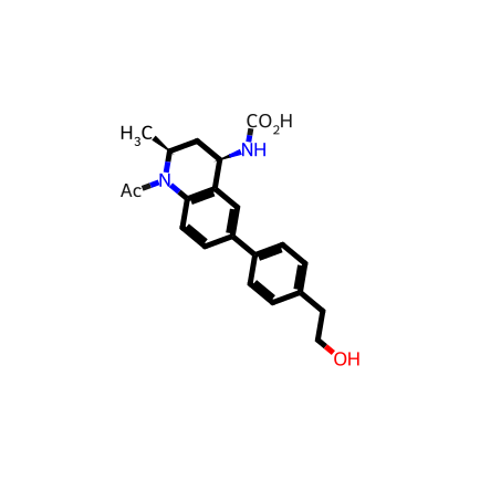 CC(=O)N1c2ccc(-c3ccc(CCO)cc3)cc2[C@H](NC(=O)O)C[C@@H]1C